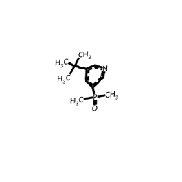 CC(C)(C)c1cncc(P(C)(C)=O)c1